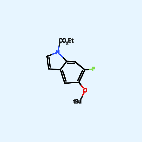 CCOC(=O)n1ccc2cc(OC(C)(C)C)c(F)cc21